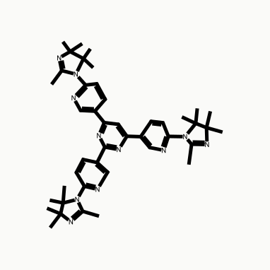 CC1=NC(C)(C)C(C)(C)N1c1ccc(-c2cc(-c3ccc(N4C(C)=NC(C)(C)C4(C)C)nc3)nc(-c3ccc(N4C(C)=NC(C)(C)C4(C)C)nc3)n2)cn1